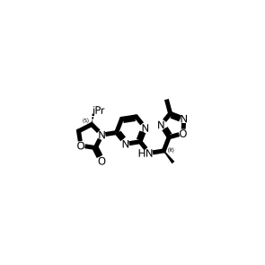 Cc1noc([C@@H](C)Nc2nccc(N3C(=O)OC[C@@H]3C(C)C)n2)n1